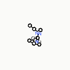 CC1(C)c2ccccc2C2C=Cc3c(n(-c4ccc(-c5nc(C6=CC=C(C7=CC=CCC7)CC6)c6ccccc6n5)cc4)c4ccccc34)C21